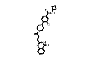 O=C(NC1CCC1)c1ccc(N2CCN(C(=O)CCc3nc4ccccc4c(=O)[nH]3)CC2)c(Cl)c1